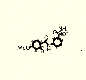 COc1ccc(C(=O)Nc2cccc(S(N)(=O)=O)c2)c(C)c1